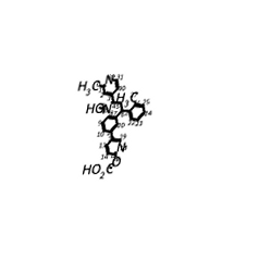 Cc1cc(C(CC(c2cccc(-c3ccc(OC(=O)O)nc3)c2)c2ccccc2C)=NO)ccn1